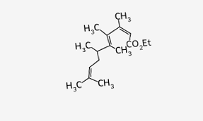 CCOC(=O)C=C(C)C(C)=C(C)C(C)CC=C(C)C